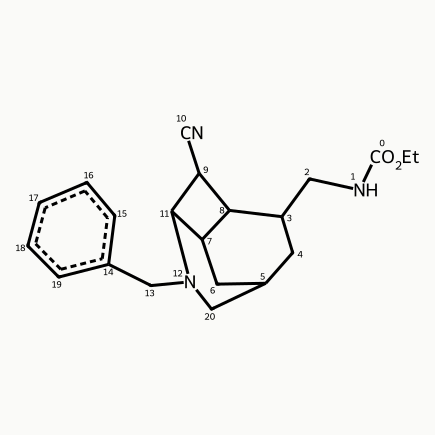 CCOC(=O)NCC1CC2CC3C1C(C#N)C3N(Cc1ccccc1)C2